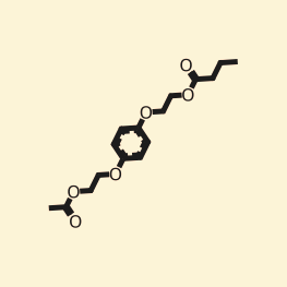 CCCC(=O)OCCOc1ccc(OCCOC(C)=O)cc1